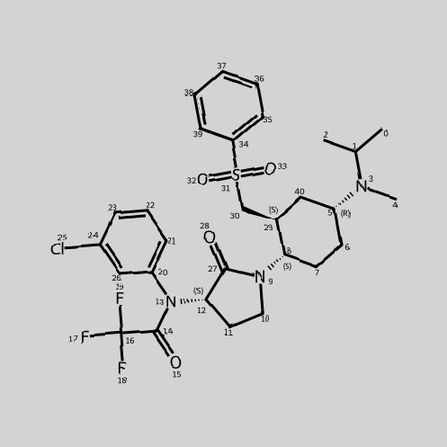 CC(C)N(C)[C@@H]1CC[C@H](N2CC[C@H](N(C(=O)C(F)(F)F)c3cccc(Cl)c3)C2=O)[C@@H](CS(=O)(=O)c2ccccc2)C1